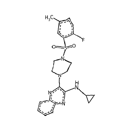 Cc1ccc(F)c(S(=O)(=O)N2CCN(c3nc4ccccc4nc3NC3CC3)CC2)c1